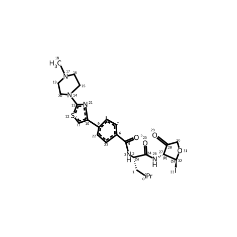 CC(C)C[C@H](NC(=O)c1ccc(-c2csc(N3CCN(C)CC3)n2)cc1)C(=O)N[C@@H]1C(=O)CO[C@H]1I